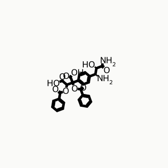 NC(=O)[C@H](O)[C@@H](N)c1ccc(C(OC(=O)c2ccccc2)(C(=O)O)C(OC(=O)c2ccccc2)C(=O)O)cc1